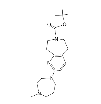 CN1CCCN(c2ccc3c(n2)CCN(C(=O)OC(C)(C)C)CC3)CC1